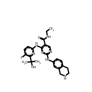 CC(C)(O)c1nc(Nc2nc(Nc3ccc4c(c3)CNCC4)ncc2C(=O)NCC(F)(F)F)ccc1F